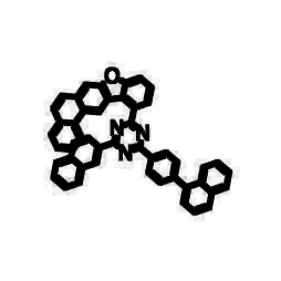 c1ccc2cc(-c3nc(-c4ccc(-c5cccc6ccccc56)cc4)nc(-c4cccc5oc6cc7ccc8ccccc8c7cc6c45)n3)ccc2c1